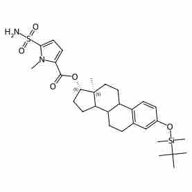 Cn1c(C(=O)O[C@H]2CCC3C4CCc5cc(O[Si](C)(C)C(C)(C)C)ccc5C4CC[C@@]32C)ccc1S(N)(=O)=O